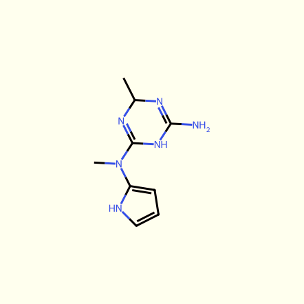 CC1N=C(N)NC(N(C)c2ccc[nH]2)=N1